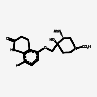 CN[C@@H]1CN(C(=O)O)CC[C@]1(O)COc1ccc(F)c2c1CCC(=O)N2